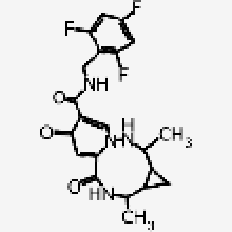 CC1NC(=O)c2cc(=O)c(C(=O)NCc3c(F)cc(F)cc3F)cn2NC(C)C2CC12